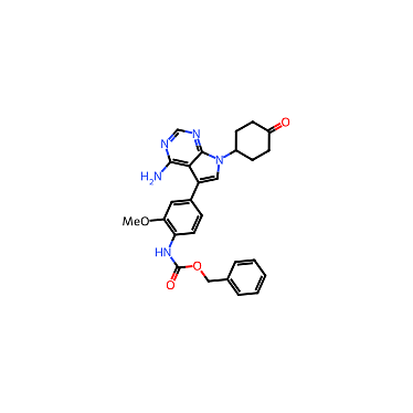 COc1cc(-c2cn(C3CCC(=O)CC3)c3ncnc(N)c23)ccc1NC(=O)OCc1ccccc1